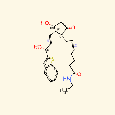 CCNC(=O)CCC/C=C\C[C@H]1C(=O)C[C@@H](O)[C@@H]1/C=C/[C@@H](O)c1cc2ccccc2s1